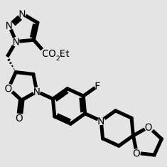 CCOC(=O)c1cnnn1C[C@@H]1CN(c2ccc(N3CCC4(CC3)OCCO4)c(F)c2)C(=O)O1